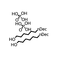 CCCCCCCCCCCCCCCCO.CCCCCCCCCCCCCCCCO.O=P(O)(O)O.O=P(O)(O)O